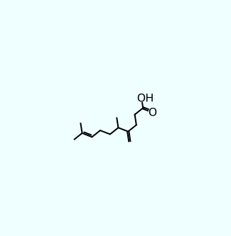 C=C(CCC(=O)O)C(C)CCC=C(C)C